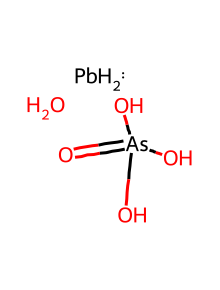 O.O=[As](O)(O)O.[PbH2]